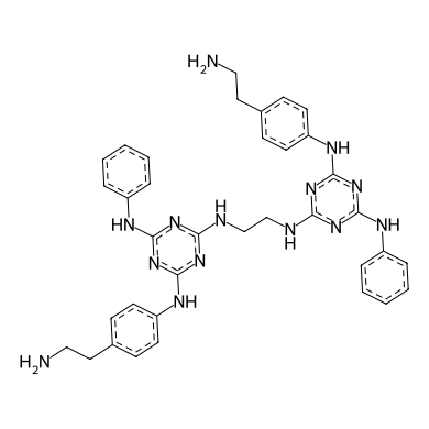 NCCc1ccc(Nc2nc(NCCNc3nc(Nc4ccccc4)nc(Nc4ccc(CCN)cc4)n3)nc(Nc3ccccc3)n2)cc1